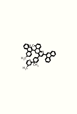 CC1C=CN=C(C2(C)C=CC(c3cc(-c4cc5ccccc5c5ccccc45)nc4c3CC(c3cc5ccccc5c5c3C=CC(C)C5)C3C4=CC=CC3C)=CC2)C1